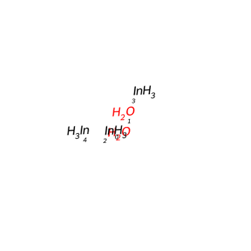 O.O.[InH3].[InH3].[InH3]